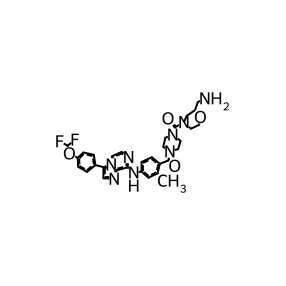 Cc1cc(Nc2nccn3c(-c4ccc(OC(F)F)cc4)cnc23)ccc1C(=O)N1CCN(C(=O)N2CCOC(CN)C2)CC1